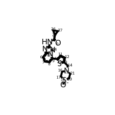 O=C(Nc1nc2cccc(-c3ccc(CN4CC[S+]([O-])CC4)s3)n2n1)C1CC1